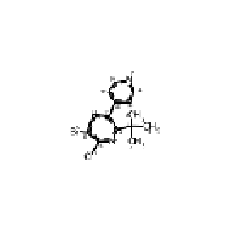 CC(C)(C)c1nc(Cl)c(Br)cc1-c1ccncc1